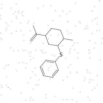 C=C(C)C1CCC(C)C(Sc2ccccc2)C1